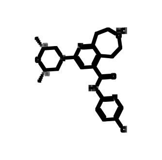 C[C@@H]1CN(c2cc(C(=O)Nc3ccc(Cl)cn3)c3c(n2)CCOCC3)C[C@H](C)O1.Cl